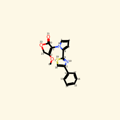 COC1=C(n2cccc2-c2nc(-c3ccccc3)cs2)C(=O)OC1